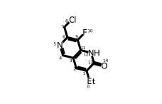 CCc1cc2cnc(CCl)c(F)c2[nH]c1=O